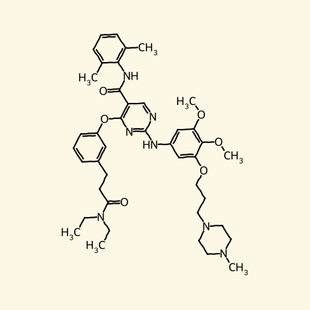 CCN(CC)C(=O)CCc1cccc(Oc2nc(Nc3cc(OC)c(OC)c(OCCCN4CCN(C)CC4)c3)ncc2C(=O)Nc2c(C)cccc2C)c1